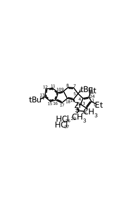 CCC1=CCC(C2(C(C)(C)C)C=CC3=c4ccc(C(C)(C)C)cc4=CC3=[C]2[Zr]=[C](C)C)=C1CC.Cl.Cl